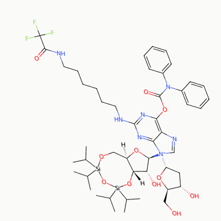 CC(C)[Si]1(C(C)C)OC[C@H]2O[C@@H]([N+]3([C@@H]4C[C@H](O)[C@@H](CO)O4)C=Nc4c(OC(=O)N(c5ccccc5)c5ccccc5)nc(NCCCCCCNC(=O)C(F)(F)F)nc43)[C@H](O)[C@@H]2O[Si](C(C)C)(C(C)C)O1